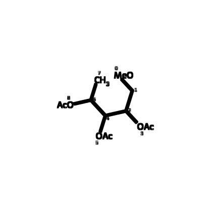 COCC(OC(C)=O)C(OC(C)=O)C(C)OC(C)=O